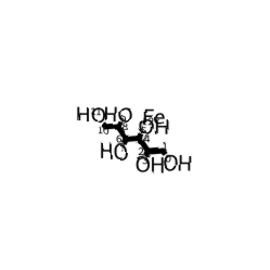 OCC(O)C(O)C(O)C(O)CO.[Fe]